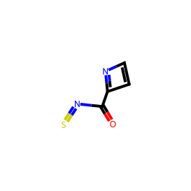 O=C(N=S)C1=NC=C1